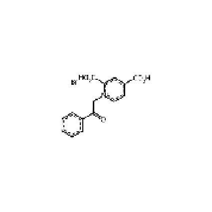 O=C(O)c1cc[n+](CC(=O)c2ccccc2)c(C(=O)O)c1.[Br-]